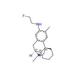 Cc1cc2c(cc1NCCF)C[C@H]1[C@@H]3CCCC[C@]23CCN1C